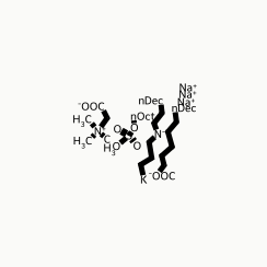 CCCCCCCCCCCCCCCC(=O)[O-].CCCCCCCCCCCC[N-]CC[CH2][K].CCCCCCCCOS(=O)(=O)[O-].C[N+](C)(C)CC(=O)[O-].[Na+].[Na+].[Na+]